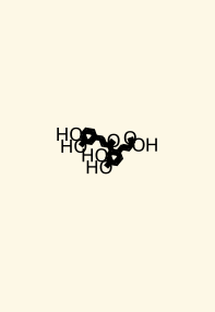 O=C(O)C=Cc1ccc(O)c(O)c1C(=O)C=Cc1ccc(O)c(O)c1